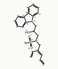 C=C/C=C(\C=C)CN(CC(O)Cn1c2ccccc2c2ccccc21)S(C)(=O)=O